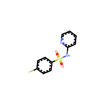 O=S(=O)(Nc1ccccn1)c1ccc(F)cc1